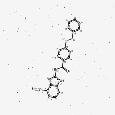 O=C(Nc1nc2c(C(=O)O)cccc2[nH]1)c1ccc(OCc2ccccc2)cn1